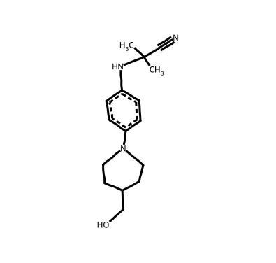 CC(C)(C#N)Nc1ccc(N2CCC(CO)CC2)cc1